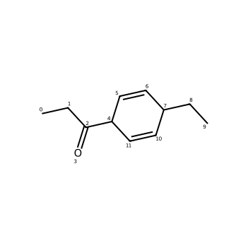 CCC(=O)C1C=CC(CC)C=C1